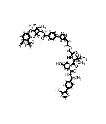 Cc1ncsc1-c1ccc([C@H](C)NC(=O)[C@@H]2C[C@@H](O)CN2C(=O)[C@@H](NC(=O)COCCc2cn(-c3ccc(C(=O)NC4C(C)(C)C(Oc5ccc(C#N)c(C(F)(F)F)c5)C4(C)C)cc3)nn2)C(C)(C)C)cc1